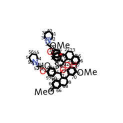 COc1cccc(C2=C(C(OC(C(O)(C3=C(c4cccc(OC)c4)CCc4ccccc43)c3ccc(OCCN4CCCCC4)cc3)S(=O)(=O)O)c3ccc(OCCN4CCCCC4)cc3)c3ccc(OC)cc3CC2)c1